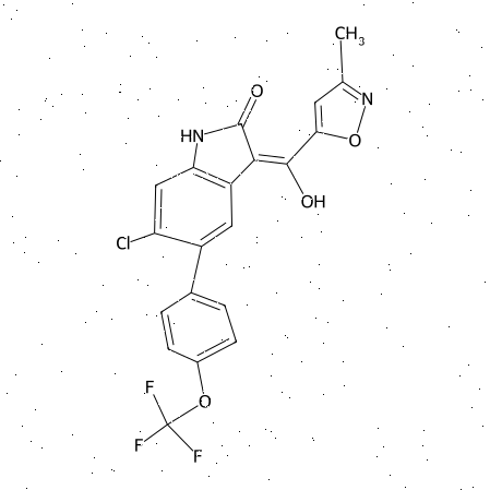 Cc1cc(C(O)=C2C(=O)Nc3cc(Cl)c(-c4ccc(OC(F)(F)F)cc4)cc32)on1